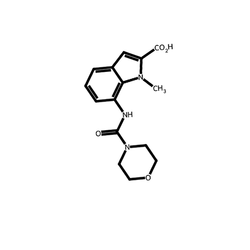 Cn1c(C(=O)O)cc2cccc(NC(=O)N3CCOCC3)c21